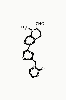 CN1c2ccc(-c3cncc(Cn4cccnc4=O)c3)cc2CCC1C=O